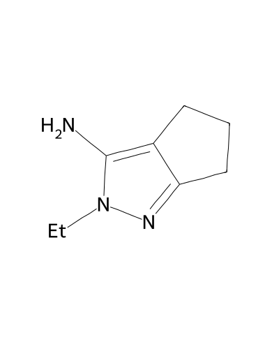 CCn1nc2c(c1N)CCC2